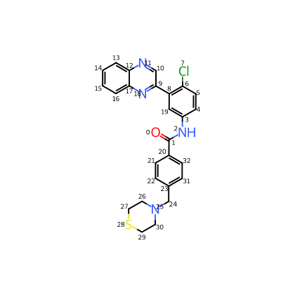 O=C(Nc1ccc(Cl)c(-c2cnc3ccccc3n2)c1)c1ccc(CN2CCSCC2)cc1